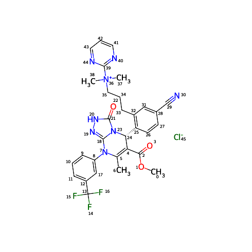 COC(=O)C1=C(C)N(c2cccc(C(F)(F)F)c2)c2n[nH]c(=O)n2[C@@H]1c1ccc(C#N)cc1CCC[N+](C)(C)c1ncccn1.[Cl-]